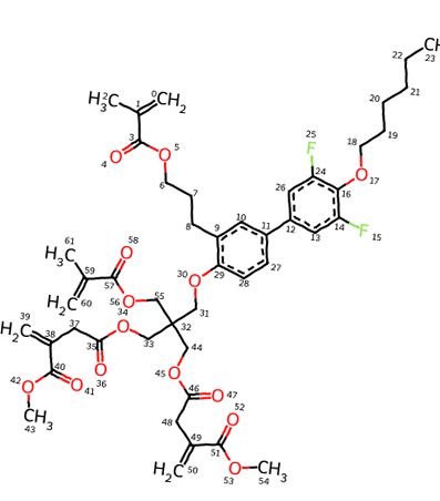 C=C(C)C(=O)OCCCc1cc(-c2cc(F)c(OCCCCCC)c(F)c2)ccc1OCC(COC(=O)CC(=C)C(=O)OC)(COC(=O)CC(=C)C(=O)OC)COC(=O)C(=C)C